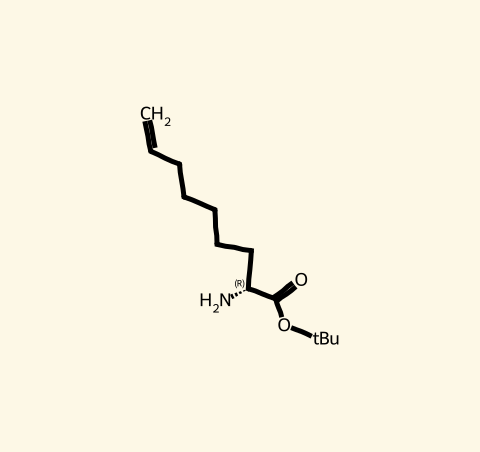 C=CCCCCC[C@@H](N)C(=O)OC(C)(C)C